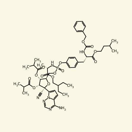 CCC(CC)COC(=O)[C@H](C)NP(=O)(OC[C@H]1O[C@@](C#N)(c2ccc3c(N)ncnn23)[C@H](OC(=O)C(C)C)[C@@H]1OC(=O)C(C)C)Oc1ccc(C[C@H](NC(=O)OCc2ccccc2)C(=O)OCCC(C)C)cc1